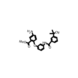 COC(=O)c1cc(N)ccc1Oc1cccc(NC(=O)c2cccc(C(C)(C)C#N)c2)c1